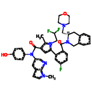 Cc1c(C(=O)N(c2ccc(O)cc2)c2cnc3c(ccn3C)c2)cc(-c2cc(F)ccc2C(=O)N2Cc3ccccc3C[C@H]2CN2CCOCC2)n1CC(F)F